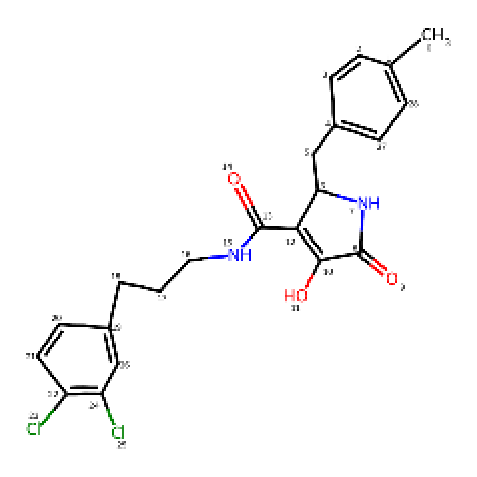 Cc1ccc(CC2NC(=O)C(O)=C2C(=O)NCCCc2ccc(Cl)c(Cl)c2)cc1